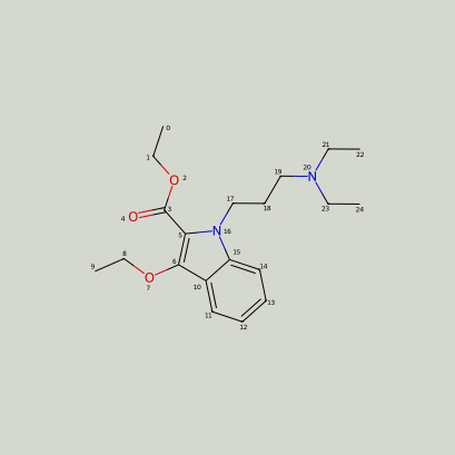 CCOC(=O)c1c(OCC)c2ccccc2n1CCCN(CC)CC